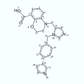 O=C(O)c1cccc2c1OCCN2Cc1cncn1Cc1ccc(-c2cncs2)cc1